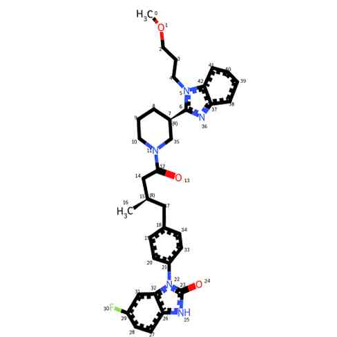 COCCCn1c([C@@H]2CCCN(C(=O)C[C@H](C)Cc3ccc(-n4c(=O)[nH]c5ccc(F)cc54)cc3)C2)nc2ccccc21